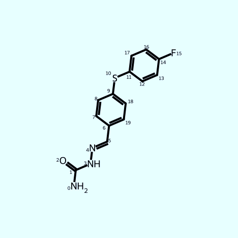 NC(=O)NN=Cc1ccc(Sc2ccc(F)cc2)cc1